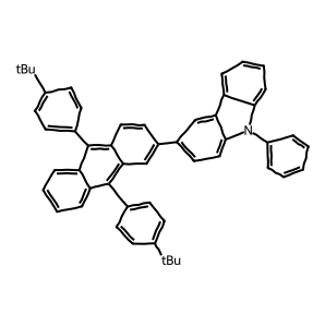 CC(C)(C)c1ccc(-c2c3ccccc3c(-c3ccc(C(C)(C)C)cc3)c3cc(-c4ccc5c(c4)c4ccccc4n5-c4ccccc4)ccc23)cc1